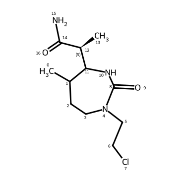 CC1CCN(CCCl)C(=O)NC1[C@H](C)C(N)=O